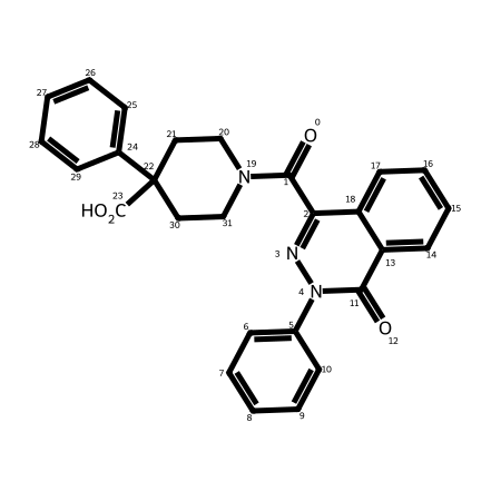 O=C(c1nn(-c2ccccc2)c(=O)c2ccccc12)N1CCC(C(=O)O)(c2ccccc2)CC1